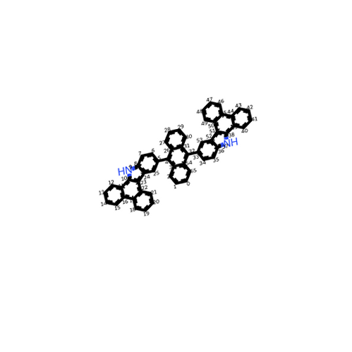 c1ccc2c(-c3ccc4[nH]c5c6ccccc6c6ccccc6c5c4c3)c3ccccc3c(-c3ccc4[nH]c5c6ccccc6c6ccccc6c5c4c3)c2c1